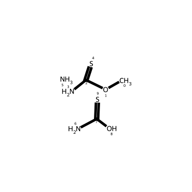 COC(N)=S.N.NC(O)=S